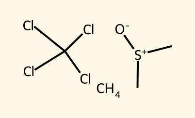 C.C[S+](C)[O-].ClC(Cl)(Cl)Cl